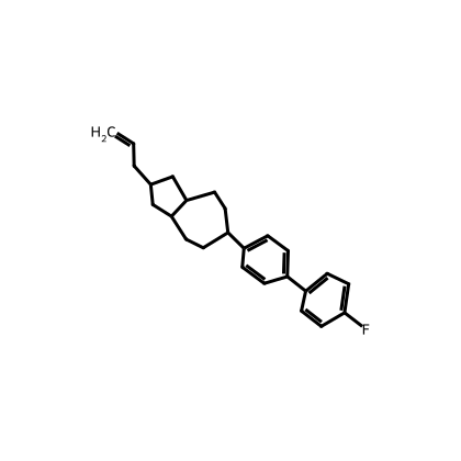 C=CCC1CC2CCC(c3ccc(-c4ccc(F)cc4)cc3)CCC2C1